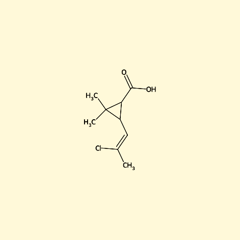 CC(Cl)=CC1C(C(=O)O)C1(C)C